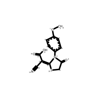 COc1ccc(N2C(=O)CS/C2=C(\C#N)C(=O)O)cc1